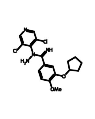 COc1ccc(C(=N)N(N)c2c(Cl)cncc2Cl)cc1OC1CCCC1